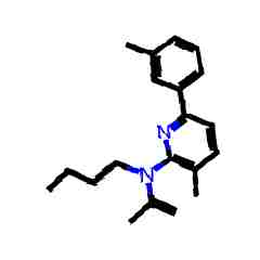 C=C(C)N(CCCC)c1nc(-c2cccc(C)c2)ccc1C